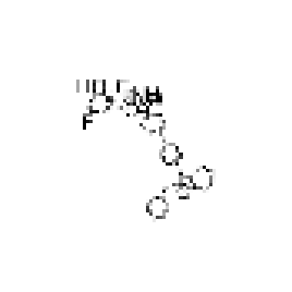 O=C(O)[C@H](Cc1cccc(F)c1)NS(=O)(=O)c1ccc(-c2ccc(-c3c(Cc4ccccc4)oc4ccccc34)cc2)cc1